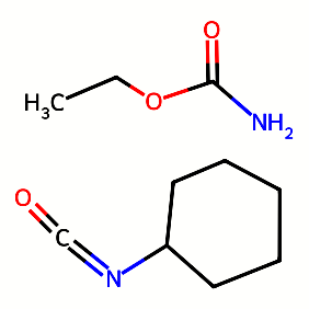 CCOC(N)=O.O=C=NC1CCCCC1